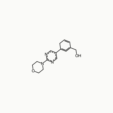 OCC1=C=C(c2cnc(N3CCOCC3)nc2)CC=C1